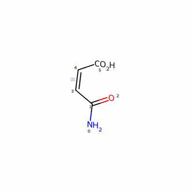 NC(=O)/C=C\C(=O)O